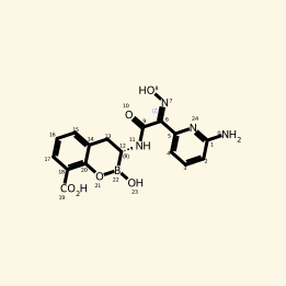 Nc1cccc(/C(=N/O)C(=O)N[C@H]2Cc3cccc(C(=O)O)c3OB2O)n1